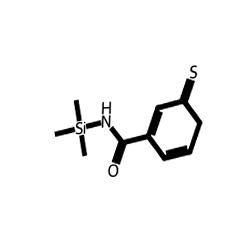 C[Si](C)(C)NC(=O)C1=CC(=S)CC=C1